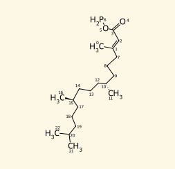 C/C(=C\C(=O)OP)CCC[C@H](C)CCC[C@H](C)CCCC(C)C